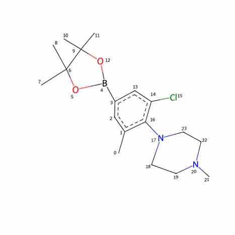 Cc1cc(B2OC(C)(C)C(C)(C)O2)cc(Cl)c1N1CCN(C)CC1